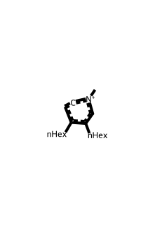 CCCCCCc1cc[n+](C)cc1CCCCCC